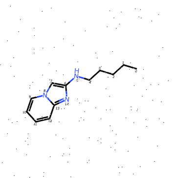 CCCCCNc1cn2ccccc2n1